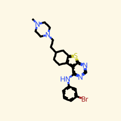 CN1CCN(CCC2CCc3c(sc4ncnc(Nc5cccc(Br)c5)c34)C2)CC1